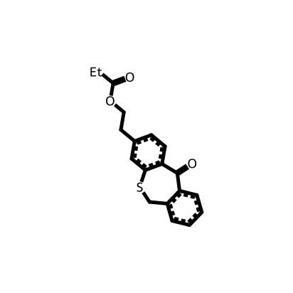 CCC(=O)OCCc1ccc2c(c1)SCc1ccccc1C2=O